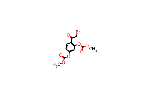 COC(=O)Oc1ccc(C(=O)CBr)c(OC(=O)OC)c1